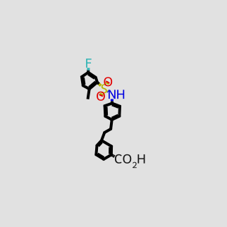 Cc1ccc(F)cc1S(=O)(=O)Nc1ccc(CCc2cccc(C(=O)O)c2)cc1